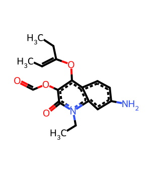 CC=C(CC)Oc1c(OC=O)c(=O)n(CC)c2cc(N)ccc12